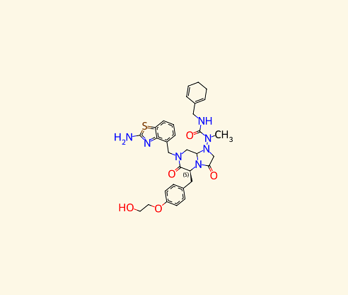 CN(C(=O)NCC1=CCCC=C1)N1CC(=O)N2C1CN(Cc1cccc3sc(N)nc13)C(=O)[C@@H]2Cc1ccc(OCCO)cc1